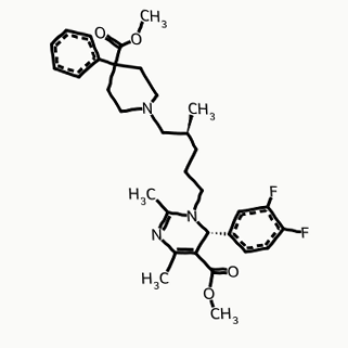 COC(=O)C1=C(C)N=C(C)N(CCC[C@H](C)CN2CCC(C(=O)OC)(c3ccccc3)CC2)[C@@H]1c1ccc(F)c(F)c1